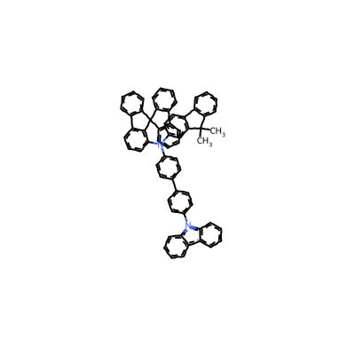 CC1(C)c2ccccc2-c2ccc(N(c3ccc(-c4ccc(-n5c6ccccc6c6ccccc65)cc4)cc3)c3cccc4c3C3(c5ccccc5-c5ccccc53)c3ccccc3-4)cc21